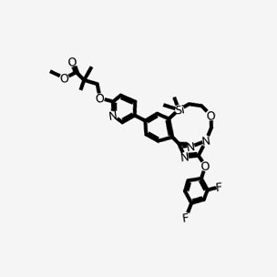 COC(=O)C(C)(C)COc1ccc(-c2ccc3c(c2)[Si](C)(C)CCOCn2nc-3nc2Oc2ccc(F)cc2F)cn1